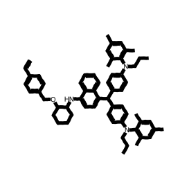 C=Cc1ccc(COC2CCCCC2Nc2ccc(C(c3ccc(N(CCC)c4c(C)cc(C)cc4C)cc3)c3ccc(N(CCC)c4c(C)cc(C)cc4C)cc3)c3ccccc23)cc1